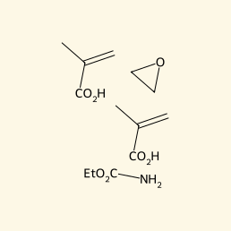 C1CO1.C=C(C)C(=O)O.C=C(C)C(=O)O.CCOC(N)=O